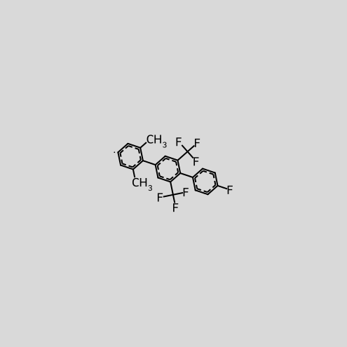 Cc1c[c]cc(C)c1-c1cc(C(F)(F)F)c(-c2ccc(F)cc2)c(C(F)(F)F)c1